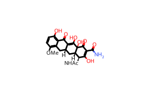 COc1ccc(O)c2c1C[C@H]1C[C@H]3[C@H](NC(C)=O)C(O)=C(C(N)=O)C(=O)[C@@]3(O)C(O)=C1C2=O